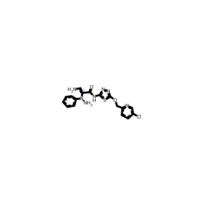 N/C=C(/C(=O)Nc1nnc(OCc2ccc(Cl)cn2)s1)N(N)c1ccccc1